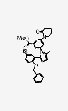 COC(=O)c1cc(N2CCCCC2=O)cc(-n2c(C)ccc2-c2cc(Br)ccc2OCc2ccccc2)c1